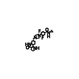 O=C(NC1CC1)c1cc(F)c(N2CCN(Cc3ccc4c5c(c(=O)[nH]c4c3)CCCN5)CC2)c(F)c1